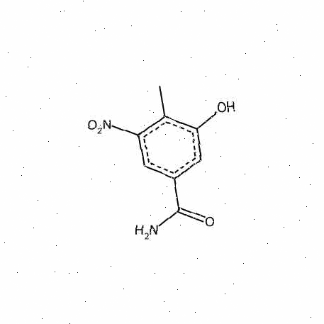 Cc1c(O)cc(C(N)=O)cc1[N+](=O)[O-]